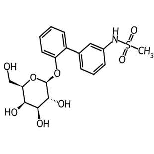 CS(=O)(=O)Nc1cccc(-c2ccccc2O[C@@H]2O[C@H](CO)[C@H](O)[C@H](O)[C@H]2O)c1